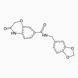 O=C1COc2cc(C(=O)NCc3ccc4c(c3)OCO4)ccc2N1